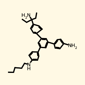 CCCCCNc1ccc(-c2cc(-c3ccc(N)cc3)cc(-c3ccc(C(N)(CC)CC)cc3)c2)cc1